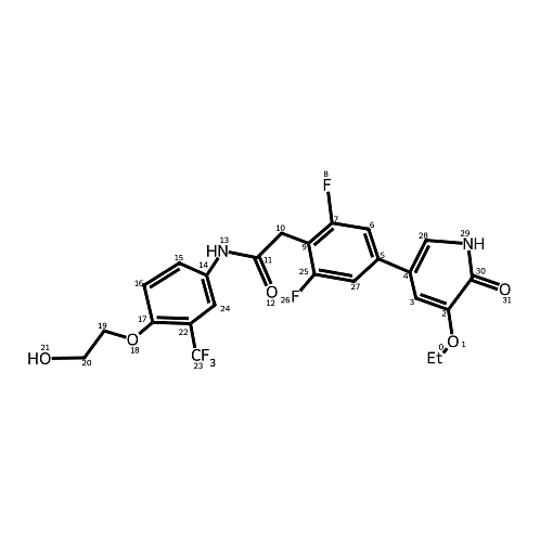 CCOc1cc(-c2cc(F)c(CC(=O)Nc3ccc(OCCO)c(C(F)(F)F)c3)c(F)c2)c[nH]c1=O